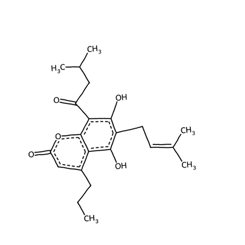 CCCc1cc(=O)oc2c(C(=O)CC(C)C)c(O)c(CC=C(C)C)c(O)c12